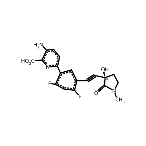 CN1CC[C@@](O)(C#Cc2cc(-c3ccc(N)c(C(=O)O)n3)c(F)cc2F)C1=O